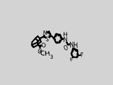 COC(=O)C12CC3CC(C1)CC(c1ncc(-c4ccc(NC(=O)Nc5cc(F)cc(F)c5)cc4)s1)(C3)C2